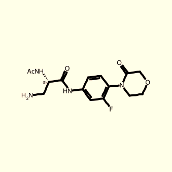 CC(=O)N[C@@H](CN)C(=O)Nc1ccc(N2CCOCC2=O)c(F)c1